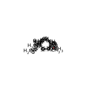 C=CC(=O)N1CC[C@H](C(=O)N(C)[C@H](C(=O)N[C@H]2Cc3cccc(c3)-c3ccc4c(c3)c(c(-c3cccnc3[C@H](C)OC)n4CC)CC(C)(C)COC(=O)[C@@]3(C)CCCN(N3)C2=O)C2COC2)C1